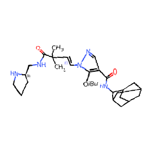 CC(C)COc1c(C(=O)NC2C3CC4CC(C3)CC2C4)cnn1/C=C/C(C)(C)C(=O)NC[C@H]1CCCN1